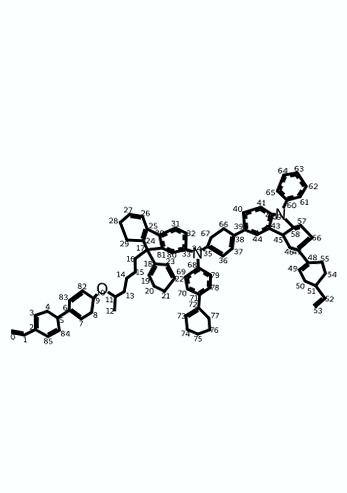 C=CC1=CCC(C2=CCC(OC(C)CCCCC3(C4=CCCC=C4)C4=C(C=CCC4)c4ccc(N(C5=CC=C(c6ccc7c(c6)C6CC(C8=CCC(C=C)CC8)=CC=C6N7c6ccccc6)CC5)c5ccc(C6=CCCCC6)cc5)cc43)C=C2)C=C1